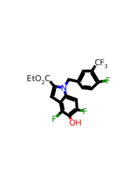 CCOC(=O)c1cc2c(F)c(O)c(F)cc2n1Cc1ccc(F)c(C(F)(F)F)c1